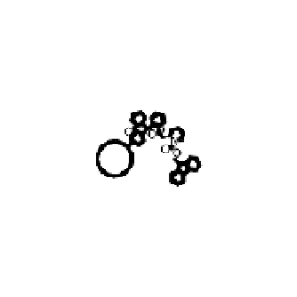 O=C(C[C@H]1CCCCN1C(=O)OCC1c2ccccc2-c2ccccc21)OC(c1ccccc1)(c1ccc(C2CCCCCCCCCCCCCCC2)cc1)c1ccccc1Cl